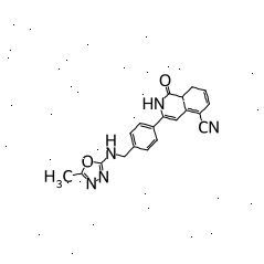 Cc1nnc(NCc2ccc(C3=CC4=C(C#N)C=CCC4C(=O)N3)cc2)o1